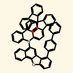 c1ccc(-c2ccc(-c3cccc4oc5c6ccccc6c(N(c6ccc7c(c6)C6(c8ccccc8-c8ccccc86)c6ccccc6-7)c6ccccc6-c6ccccc6)cc5c34)cc2)cc1